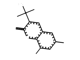 CC(C)(N)c1cc2cc(Cl)cc(F)c2[nH]c1=O